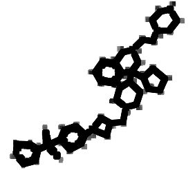 O=S(=O)(c1ccncc1)c1ccc(N2CC(CN3CCC(C4(C5CCCC5)CN(CCN5CCOCC5)Cc5ccccc54)CC3)C2)cc1